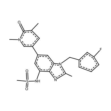 Cc1cc(-c2cc(NS(C)(=O)=O)c3nc(C)n(Cc4cccc(F)c4)c3c2)cn(C)c1=O